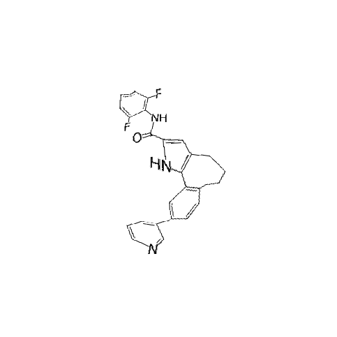 O=C(Nc1c(F)cccc1F)c1cc2c([nH]1)-c1cc(-c3cccnc3)ccc1CCC2